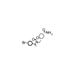 C[C@@H](c1ccc(Br)cc1)N1CC[C@]2(CC[C@@H](C(N)=O)CC2)OC1=O